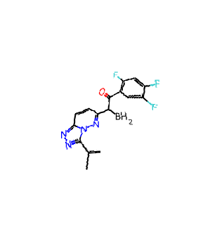 BC(C(=O)c1cc(F)c(F)cc1F)c1ccc2nnc(C(C)C)n2n1